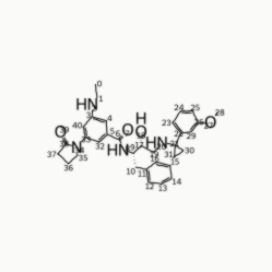 CCNc1cc(C(=O)N[C@@H](Cc2ccccc2)[C@H](O)CNC2(c3cccc(OC)c3)CC2)cc(N2CCCC2=O)c1